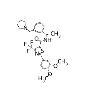 COc1ccc(-c2nc(C(F)(F)F)c(C(=O)NC(C)c3cccc(CN4CCCC4)c3)s2)cc1OC